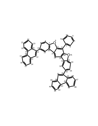 c1ccc(-c2c3oc4ccc(-c5cc6ccccc6c6ccccc56)cc4c3cc3c2oc2ccc(-c4cc5ccccc5c5ccccc45)cc23)cc1